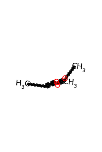 CCCCCCCCCCCCc1ccc(-c2ccc(OC(=O)c3ccc(C(C)OCCCCCCCCCC)cc3)cc2)cc1